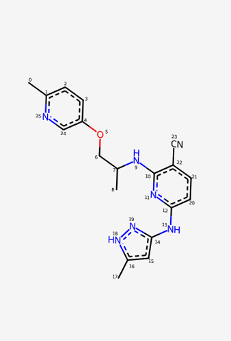 Cc1ccc(OCC(C)Nc2nc(Nc3cc(C)[nH]n3)ccc2C#N)cn1